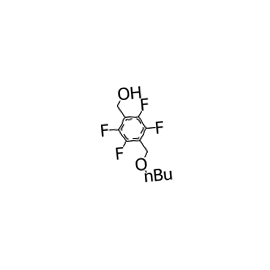 CCCCOCc1c(F)c(F)c(CO)c(F)c1F